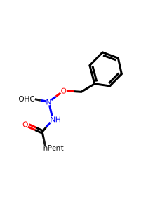 CCCCCC(=O)NN(C=O)OCc1ccccc1